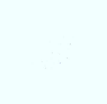 O=C1CCN(C2CCCCC2)c2nc(Nc3ccc(C(=O)O)cc3)ncc2N1